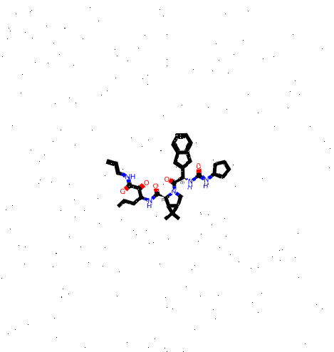 C=CCNC(=O)C(=O)C(CCC)NC(=O)[C@@H]1C2C(CN1C(=O)[C@@H](NC(=O)NC1CCCC1)C1Cc3ccccc3C1)C2(C)C